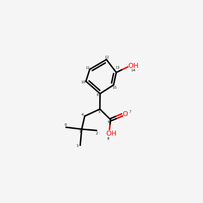 CC(C)(C)CC(C(=O)O)c1cccc(O)c1